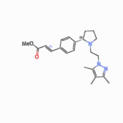 COC(=O)/C=C/c1ccc([C@@H]2CCCN2CCn2nc(C)c(C)c2C)cc1